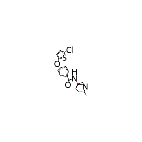 CC1CC2CCN1CC2NC(=O)c1ccc(Oc2ccc(Cl)s2)cc1